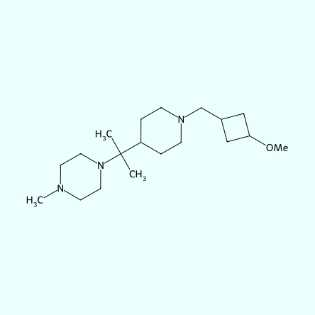 COC1CC(CN2CCC(C(C)(C)N3CCN(C)CC3)CC2)C1